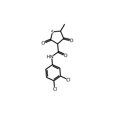 CC1SC(=O)C(C(=O)Nc2ccc(Cl)c(Cl)c2)C1=O